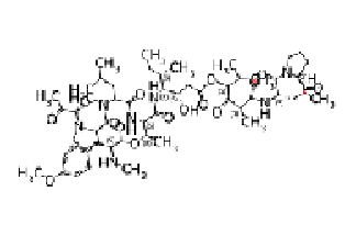 CC[C@H](C)[C@@H](NC(=O)[C@@H](NC(=O)C(CC(C)C)N(C)C(=O)C1CCCN1C(=O)C(C)=O)[C@@H](C)OC(=O)[C@H](Cc1ccc(OC)cc1)NC)[C@@H](O)CC(=O)O[C@H](C(=O)[C@H](C)C(=O)N[C@@H](CC(C)C)C(=O)N1CCC[C@H]1C=O)C(C)C